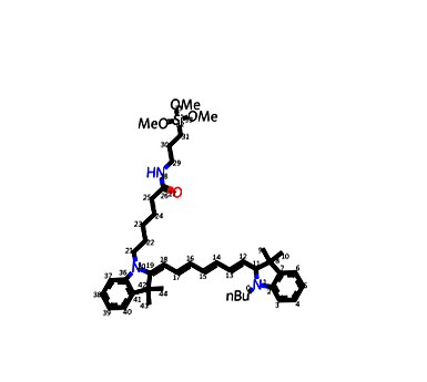 CCCCN1c2ccccc2C(C)(C)C1/C=C/C=C/C=C/C=C1/N(CCCCCC(=O)NCCC[Si](OC)(OC)OC)c2ccccc2C1(C)C